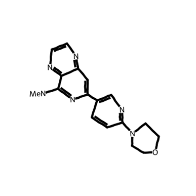 CNc1nc(-c2ccc(N3CCOCC3)nc2)cc2nccnc12